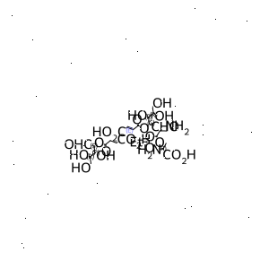 CCC(=O)OC(=O)CCN.C[C@@H](N)C(=O)O.O=C[C@@H](OC(=O)/C=C/C(=O)O)[C@H](O)[C@H](O)CO.O=C[C@@H](OC(=O)CCC(=O)O)[C@H](O)[C@H](O)CO